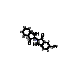 CC(C)c1ccc2c(c1)C(=O)/C(=C1\Nc3ccccc3C1=O)N2